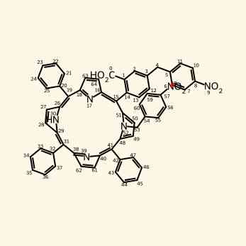 O=C(O)c1cc(Cc2ccc([N+](=O)[O-])cc2)ccc1-c1c2nc(c(-c3ccccc3)c3ccc([nH]3)c(-c3ccccc3)c3nc(c(-c4ccccc4)c4ccc1n4Cc1ccc([N+](=O)[O-])cc1)C=C3)C=C2